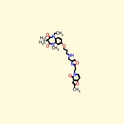 CCN1C(=O)C(C)(C)C(=O)N(C)c2cc(OCCCNCc3coc(CCn4ccc5oc(C)cc5c4=O)n3)ccc21